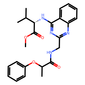 COC(=O)[C@@H](Nc1nc(CNC(=O)C(C)Oc2ccccc2)nc2ccccc12)C(C)C